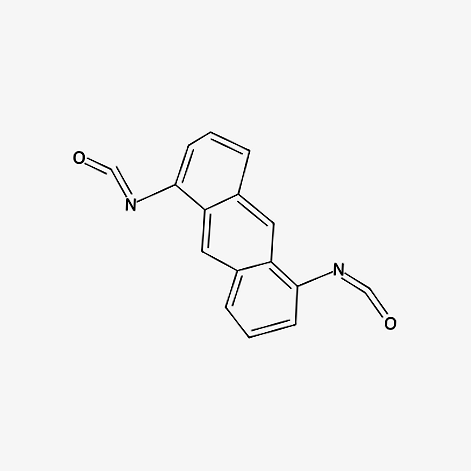 O=C=Nc1cccc2cc3c(N=C=O)cccc3cc12